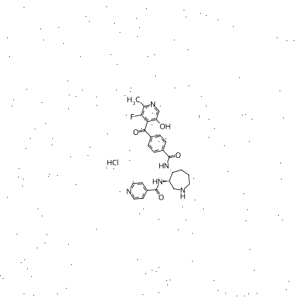 Cc1ncc(O)c(C(=O)c2ccc(C(=O)N[C@@H]3CCCNC[C@H]3NC(=O)c3ccncc3)cc2)c1F.Cl